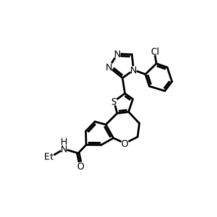 CCNC(=O)c1ccc2c(c1)OCCc1cc(-c3nncn3-c3ccccc3Cl)sc1-2